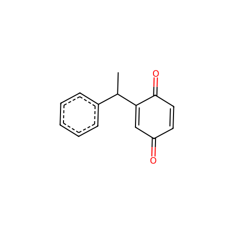 CC(C1=CC(=O)C=CC1=O)c1ccccc1